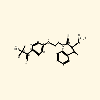 CC(c1ccccc1)C(CC(=O)O)C(=O)OCCOc1ccc(C(=O)C(C)(C)O)cc1